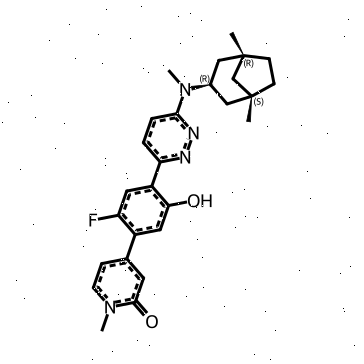 CN(c1ccc(-c2cc(F)c(-c3ccn(C)c(=O)c3)cc2O)nn1)[C@H]1C[C@]2(C)CC[C@](C)(C1)C2